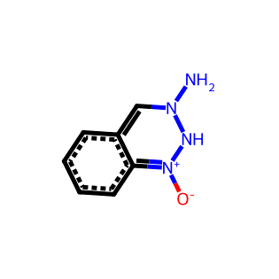 NN1C=c2ccccc2=[N+]([O-])N1